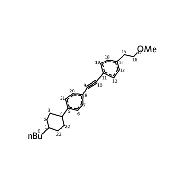 CCCCC1CCC(c2ccc(C#Cc3ccc(CCOC)cc3)cc2)CC1